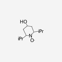 CC(C)C1CC(O)CC(C(C)C)N1[O]